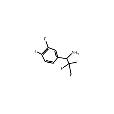 NC(c1ccc(F)c(F)c1)C(F)(F)F